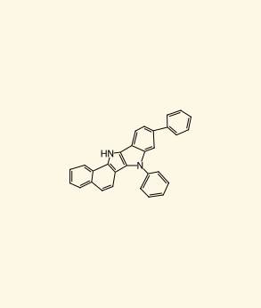 c1ccc(-c2ccc3c4[nH]c5c6ccccc6ccc5c4n(-c4ccccc4)c3c2)cc1